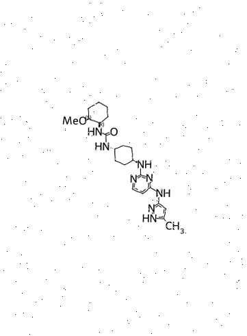 CO[C@H]1CCCC[C@H]1NC(=O)N[C@H]1CC[C@H](Nc2nccc(Nc3cc(C)[nH]n3)n2)CC1